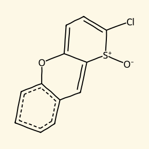 [O-][S+]1C(Cl)=CC=C2Oc3ccccc3C=C21